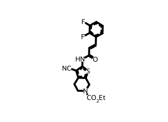 CCOC(=O)N1CCc2c(sc(NC(=O)C=Cc3cccc(F)c3F)c2C#N)C1